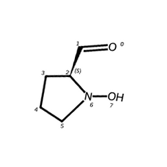 O=C[C@@H]1CCCN1O